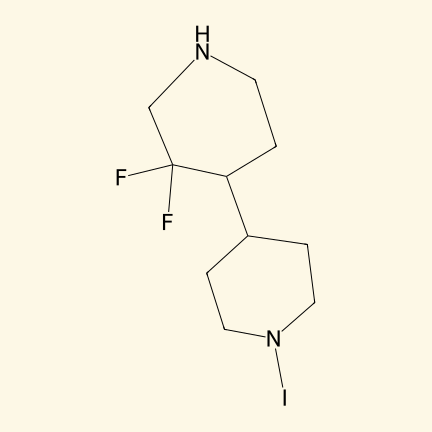 FC1(F)CNCCC1C1CCN(I)CC1